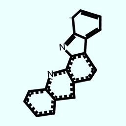 [CH]1C=CC=C2C1=Nc1c2ccc2cc3ccccc3nc12